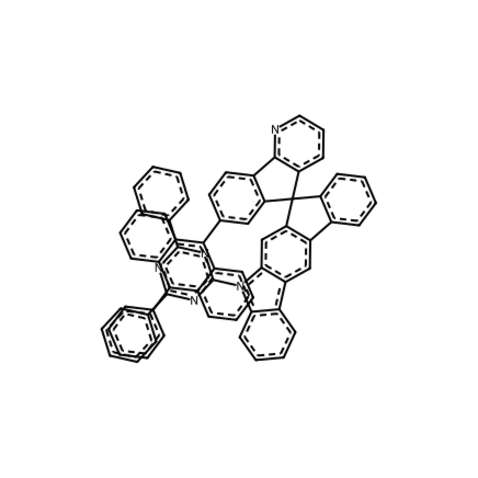 c1ccc(-c2nc(-c3ccccc3)nc(-n3c4ccccc4c4cc5c(cc43)C3(c4ccccc4-5)c4cc(-c5c6ccccc6c(-c6ccccc6)c6ccccc56)ccc4-c4ncccc43)n2)cc1